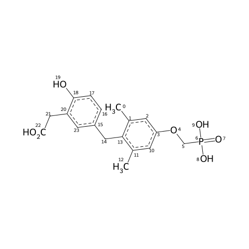 Cc1cc(OCP(=O)(O)O)cc(C)c1Cc1ccc(O)c(CC(=O)O)c1